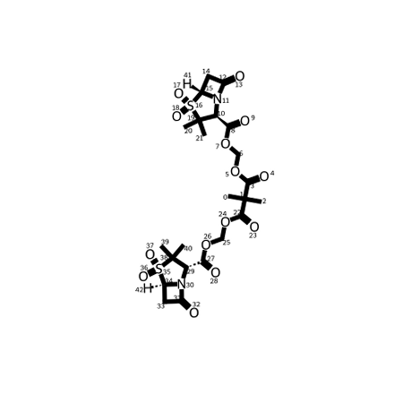 CC(C)(C(=O)OCOC(=O)[C@@H]1N2C(=O)C[C@H]2S(=O)(=O)C1(C)C)C(=O)OCOC(=O)[C@@H]1N2C(=O)C[C@H]2S(=O)(=O)C1(C)C